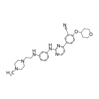 CN1CCN(CCNc2cccc(Nc3nccc(-c4ccc(OC5CCOCC5)c(C#N)c4)n3)c2)CC1